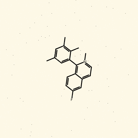 Cc1cc(C)c(C)c(-c2c3ccc(F)cc3cc[n+]2C)c1